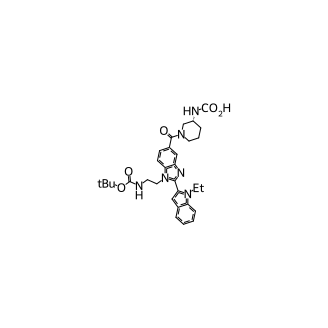 CCn1c(-c2nc3cc(C(=O)N4CCC[C@@H](NC(=O)O)C4)ccc3n2CCNC(=O)OC(C)(C)C)cc2ccccc21